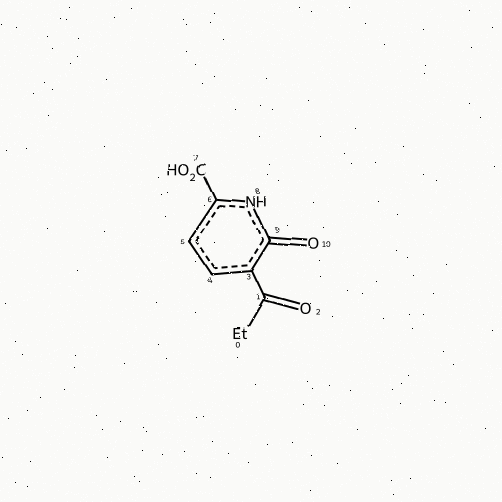 CCC(=O)c1ccc(C(=O)O)[nH]c1=O